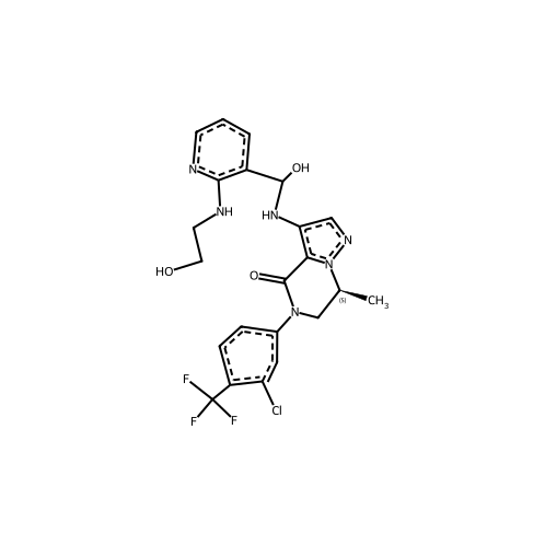 C[C@H]1CN(c2ccc(C(F)(F)F)c(Cl)c2)C(=O)c2c(NC(O)c3cccnc3NCCO)cnn21